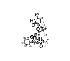 CC(C)OC(=O)[C@H](C)N[P@](=O)(OC[C@H]1O[C@@H](n2ccc(=O)[nH]c2=O)[C@](C)(F)[C@@H]1C)Oc1ccccc1